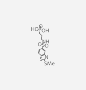 CSc1nc2cc(S(=O)(=O)NCCCP(=O)(O)O)ccc2s1